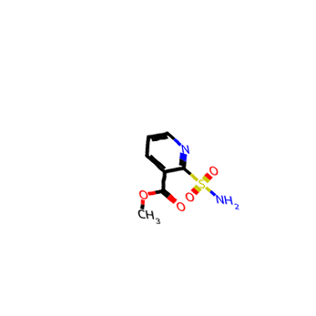 COC(=O)c1cccnc1S(N)(=O)=O